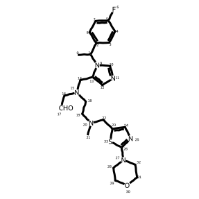 CC(c1ccc(F)cc1)n1cncc1CN(CC=O)CCN(C)Cc1cnc(N2CCOCC2)s1